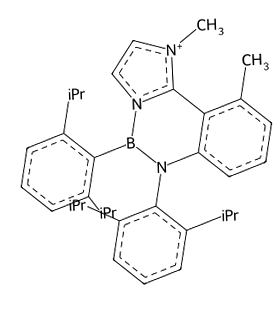 Cc1cccc2c1-c1n(cc[n+]1C)B(c1c(C(C)C)cccc1C(C)C)N2c1c(C(C)C)cccc1C(C)C